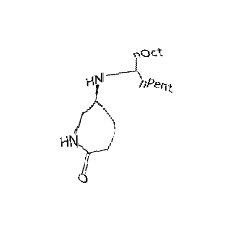 CCCCCCCCC(CCCCC)N[C@H]1CCC(=O)NC1